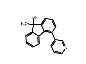 OC1(C(F)(F)F)c2ccccc2-c2c(-c3cccnc3)cccc21